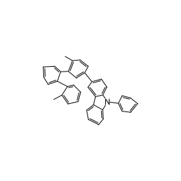 Cc1ccccc1-c1ccccc1-c1cc(-c2ccc3c(c2)c2ccccc2n3-c2ccccc2)ccc1C